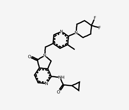 Cc1cc(CN2Cc3c(ccnc3NC(=O)C3CC3)C2=O)cnc1N1CCC(F)(F)CC1